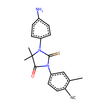 [C-]#[N+]c1ccc(N2C(=O)C(C)(C)N(c3ccc(N)cc3)C2=S)cc1C